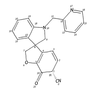 N#C[C@H]1C=CC2=C(OCC23CN(Cc2ccccn2)c2ccccc23)C1=O